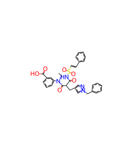 CCN(C(=O)C(Cc1cnn(Cc2ccccc2)c1)C(=O)NS(=O)(=O)C=Cc1ccccc1)c1cccc(C(=O)O)c1